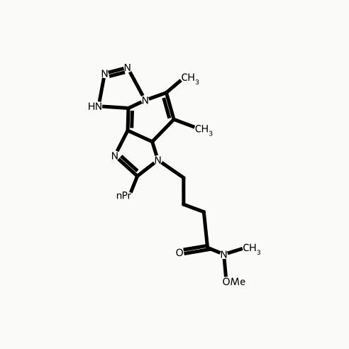 CCCC1=NC2=C3NN=NN3C(C)=C(C)C2N1CCCC(=O)N(C)OC